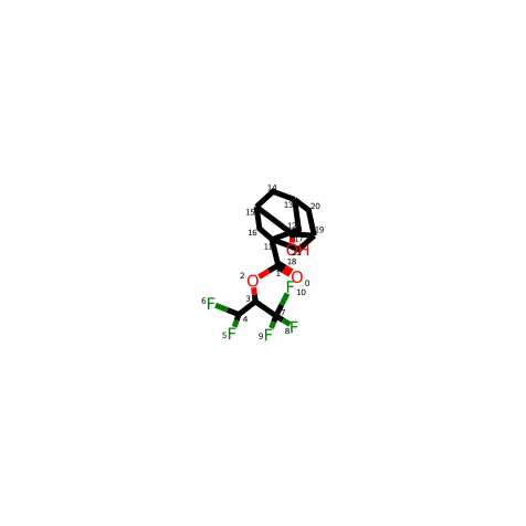 O=C(OC(C(F)F)C(F)(F)F)C12CC3CC(C1)C(O)C(C3)C2